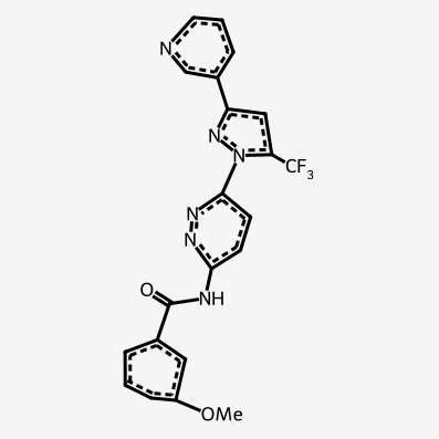 COc1cccc(C(=O)Nc2ccc(-n3nc(-c4cccnc4)cc3C(F)(F)F)nn2)c1